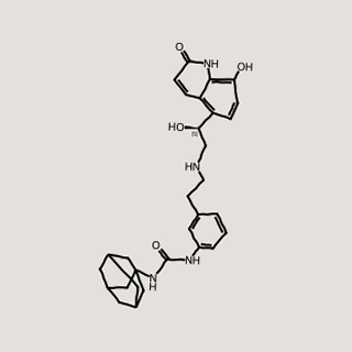 O=C(Nc1cccc(CCNC[C@@H](O)c2ccc(O)c3[nH]c(=O)ccc23)c1)NC12CC3CC(CC(C3)C1)C2